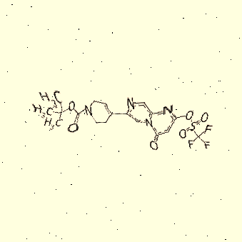 CC(C)(C)OC(=O)N1CC=C(c2cn3c(=O)cc(OS(=O)(=O)C(F)(F)F)nc3cn2)CC1